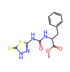 COC(=O)C(Cc1ccccc1)NC(=O)Nc1n[nH]c(=S)s1